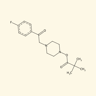 CC(C)(C)C(=O)ON1CCN(CC(=O)c2ccc(F)cc2)CC1